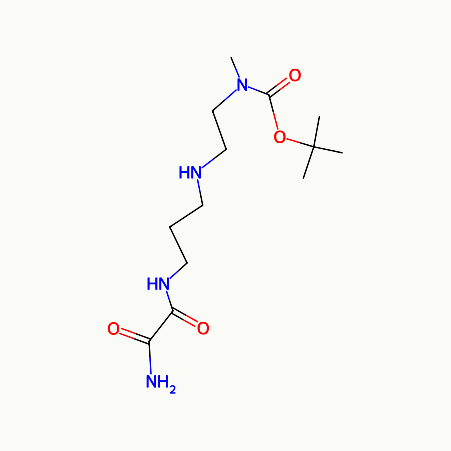 CN(CCNCCCNC(=O)C(N)=O)C(=O)OC(C)(C)C